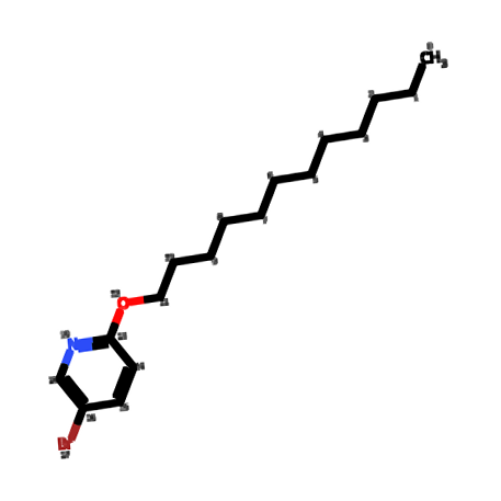 CCCCCCCCCCCCOc1ccc(Br)cn1